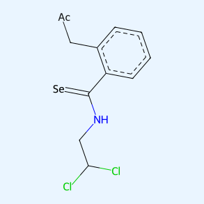 CC(=O)Cc1ccccc1C(=[Se])NCC(Cl)Cl